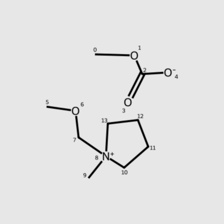 COC(=O)[O-].COC[N+]1(C)CCCC1